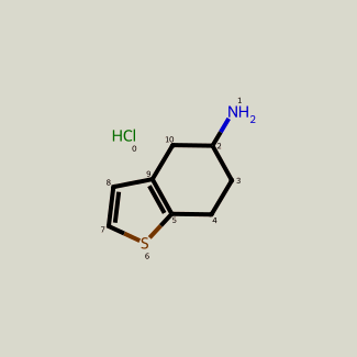 Cl.NC1CCc2sccc2C1